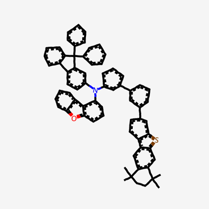 CC1(C)CCC(C)(C)c2cc3c(cc21)sc1cc(-c2cccc(-c4cccc(N(c5ccc6c(c5)C(c5ccccc5)(c5ccccc5)c5ccccc5-6)c5cccc6oc7ccccc7c56)c4)c2)ccc13